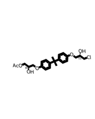 CC(=O)OC[C@H](O)COc1ccc(C(C)(C)c2ccc(OC[C@H](O)CCl)cc2)cc1